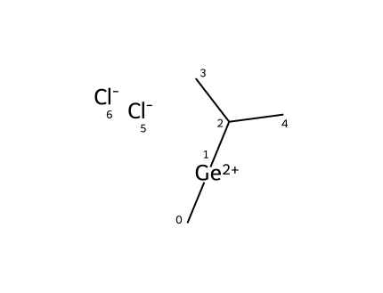 [CH3][Ge+2][CH](C)C.[Cl-].[Cl-]